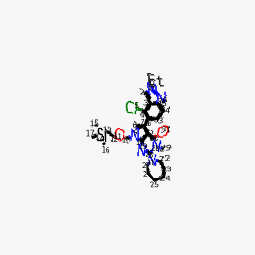 CCn1cc2c(Cl)c(-c3cn(COCC[Si](C)(C)C)c4nc(N5CCCCCC5)n(C)c(=O)c34)ccc2n1